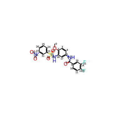 COc1ccc(NC(=O)c2ccc(F)c(F)c2)cc1NS(=O)(=O)c1cccc([N+](=O)[O-])c1